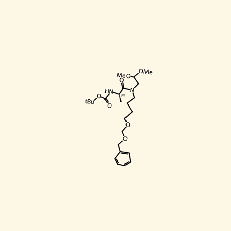 COC(CN(CCCCOCOCc1ccccc1)C(=O)[C@@H](C)NC(=O)OC(C)(C)C)OC